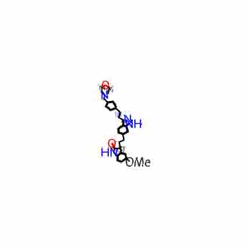 COc1ccc2c(c1)[C@](C)(CCc1ccc3c(/C=C/c4ccc(CN5C[C@@H](C)O[C@@H](C)C5)cc4)n[nH]c3c1)C(=O)N2